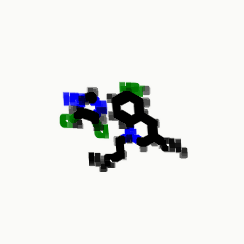 Br.CCCN1CC(C)=Cc2ccccc21.Clc1nc[nH]c1Cl